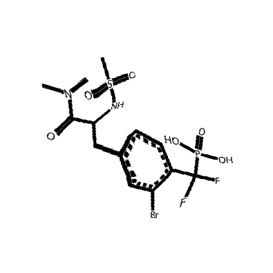 CN(C)C(=O)C(Cc1ccc(C(F)(F)P(=O)(O)O)c(Br)c1)NS(C)(=O)=O